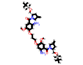 C=C1C[C@@H](CO[Si](C)(C)C(C)(C)C)N(C(=O)c2cc(OC)c(OCCCOc3cc(N)c(C(=O)N4CC(=C)C[C@H]4CO[Si](C)(C)C(C)(C)C)cc3OC)cc2N)C1